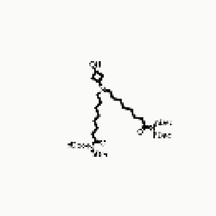 CCCCCCCCCCN(CCCCCCCCCC)C(=O)CCCCCCCN(CCCCCCCC(=O)N(CCCCCCCCCC)CCCCCCCCCC)C1CC(O)C1